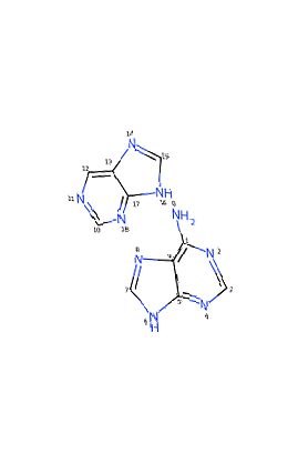 Nc1ncnc2[nH]cnc12.c1ncc2nc[nH]c2n1